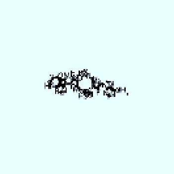 BP1(=O)OC[C@H]2O[C@@H](n3cnc4c(N)ncnc43)C(F)C2OP(=O)(S)OC[C@H]2O[C@@H](n3cc4c5c(ncnc53)NCCC4)C(OC)C2O1